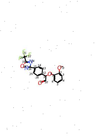 COc1ccccc1OC(C=O)c1ccc(-c2noc(C(F)(F)F)n2)cc1